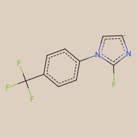 Fc1n[c]cn1-c1ccc(C(F)(F)F)cc1